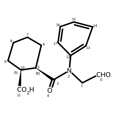 O=CCN(C(=O)[C@@H]1CCCC[C@@H]1C(=O)O)c1ccccc1